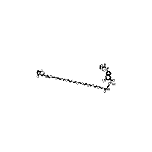 CCCN(OCCNC(=O)OCCOCCOCCOCCOCCOCCOCCOCCOCCOCCOCCNC(=O)CN1C(=O)C=CC1=O)C(=O)C1=Cc2ccc(S(=O)(=O)Nc3nccs3)cc2N=C(N)C1